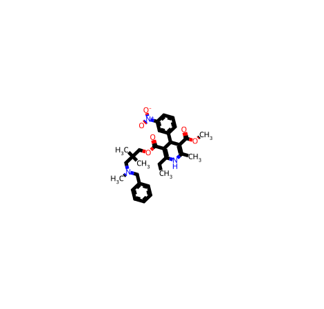 CCC1=C(C(=O)OCC(C)(C)CN(C)Cc2ccccc2)C(c2cccc([N+](=O)[O-])c2)C(C(=O)OC)=C(C)N1